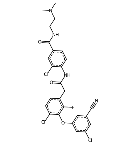 CN(C)CCNC(=O)c1ccc(NC(=O)Cc2ccc(Cl)c(Oc3cc(Cl)cc(C#N)c3)c2F)c(Cl)c1